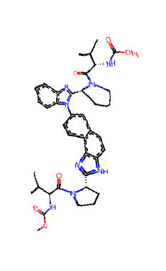 COC(=O)N[C@H](C(=O)N1CCC[C@H]1c1nc2c(ccc3cc(-n4c([C@@H]5CCCN5C(=O)[C@@H](NC(=O)O)C(C)C)nc5ccccc54)ccc32)[nH]1)C(C)C